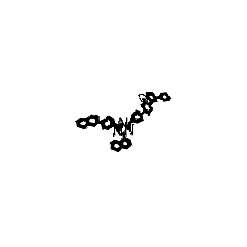 c1ccc(-c2ccc3oc4cc(-c5ccc(-c6nc(-c7ccc(-c8ccc9ccccc9c8)cc7)nc(-c7cccc8ccccc78)n6)cc5)ccc4c3c2)cc1